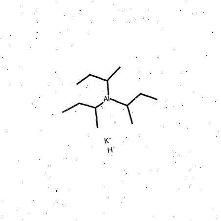 CC[CH](C)[Al]([CH](C)CC)[CH](C)CC.[H-].[K+]